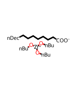 CCCCCCCCCCCCCCCCCC(=O)[O-].CCCC[O][Zr+]([O]CCCC)[O]CCCC